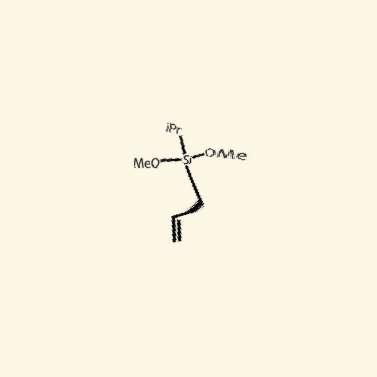 C=CC[Si](OC)(OC)C(C)C